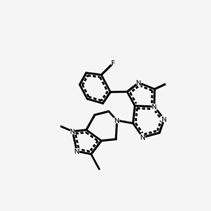 Cc1nn(C)c2c1CN(c1ncnn3c(C)nc(-c4ccccc4F)c13)CC2